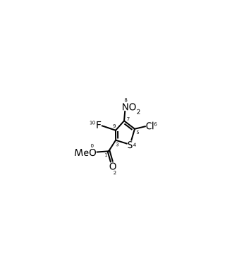 COC(=O)c1sc(Cl)c([N+](=O)[O-])c1F